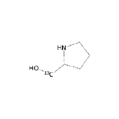 O[13CH2]C1CCCN1